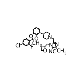 Cc1nc(CN2CCC(c3cccc4c3OC(C)(c3ccc(Cl)cc3F)O4)CC2)n(CC2CCO2)c1C#N